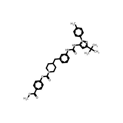 COC(=O)c1ccc(OC(=O)N2CCC(Cc3cccc(NC(=O)Nc4cc(C(C)(C)C)nn4-c4ccc(C)cc4)c3)CC2)cc1